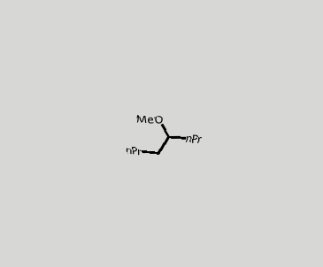 [CH2]CCC(CCCC)OC